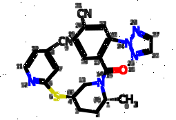 C[C@@H]1CC[C@@H](Sc2cc(C#N)ccn2)CN1C(=O)c1ccc(C#N)cc1-n1nccn1